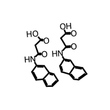 O=C(O)CC(=O)Nc1ccc2ccccc2c1.O=C(O)CC(=O)Nc1ccc2ccccc2c1